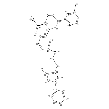 Cc1ccnc(N2CC[C@H](C(=O)O)C(c3cccc(OCCc4nc(-c5ccccc5)oc4C)c3)C2)n1